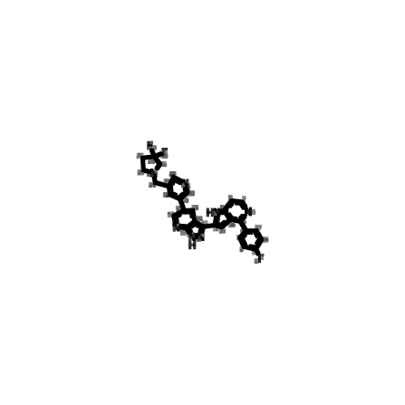 Fc1ccc(-c2nccc3[nH]c(-c4n[nH]c5ncc(-c6cncc(CN7CCC(F)(F)C7)c6)cc45)cc23)cc1